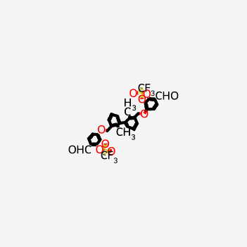 Cc1c(COc2ccc(C=O)c(OS(=O)(=O)C(F)(F)F)c2)cccc1-c1cccc(COc2ccc(C=O)c(OS(=O)(=O)C(F)(F)F)c2)c1C